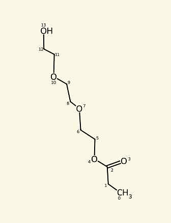 CCC(=O)OCCOCCOCCO